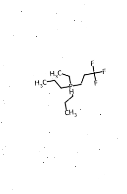 CCC[PH](CC)(CCC)CCC(F)(F)F